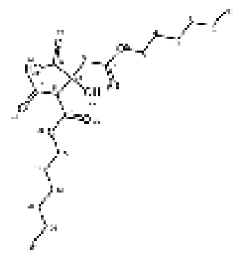 CCCCCCOC(=O)CC(O)(C(=O)O)C(C(C)=O)C(=O)OCCCCCC